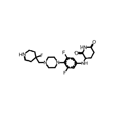 O=C1CCC(Nc2cc(F)c(N3CCN(CC4(F)CCNCC4)CC3)c(F)c2)C(=O)N1